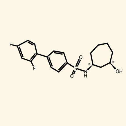 O=S(=O)(N[C@H]1CCCC[C@@H](O)C1)c1ccc(-c2ccc(F)cc2F)cc1